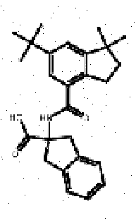 CC(C)(C)c1cc(C(=O)NC2(C(=O)O)Cc3ccccc3C2)c2c(c1)C(C)(C)CC2